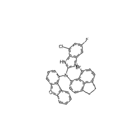 Fc1cc(Cl)c2[nH]c(N(c3ccc4c5c(ccc(Br)c35)CC4)c3cccc4oc5ccccc5c34)nc2c1